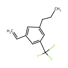 C=Cc1cc(CCC)cc(C(F)(F)F)c1